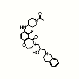 CC(=O)N1CCC(Nc2ccc3c(c2F)C(=O)N(CC(O)CN2CCc4ccccc4C2)CCO3)CC1